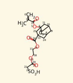 C=C(C)C(=O)OC12CC3CC(C1)CC(C(=O)OCCOC(=O)CS(=O)(=O)O)(C3)C2